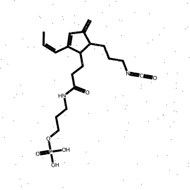 C=C1C=C(/C=C\C)C(CCC(=O)NCCCOP(=O)(O)O)C1CCCN=C=O